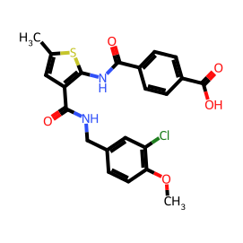 COc1ccc(CNC(=O)c2cc(C)sc2NC(=O)c2ccc(C(=O)O)cc2)cc1Cl